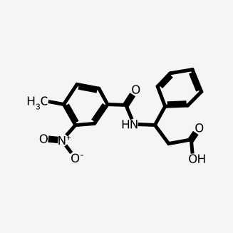 Cc1ccc(C(=O)NC(CC(=O)O)c2ccccc2)cc1[N+](=O)[O-]